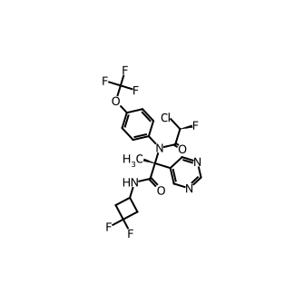 C[C@](C(=O)NC1CC(F)(F)C1)(c1cncnc1)N(C(=O)[C@H](F)Cl)c1ccc(OC(F)(F)F)cc1